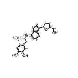 O=C(O)[C@H](Cc1ccc(O)c(O)c1)Nc1ncnc2c1ncn2[C@H]1CC[C@@H](CO)O1